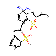 CCCCC1C(S(=O)(=O)O)=C(C=Cc2ccccc2S(=O)(=O)O)C=CC1(N)N